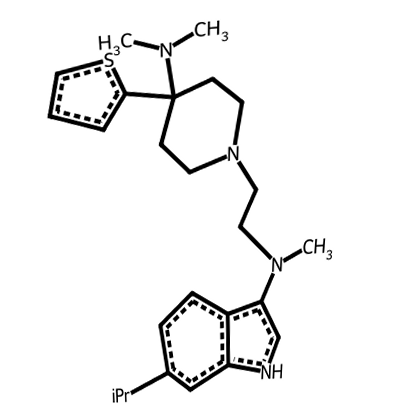 CC(C)c1ccc2c(N(C)CCN3CCC(c4cccs4)(N(C)C)CC3)c[nH]c2c1